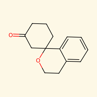 O=C1CCCC2(C1)OCCc1ccccc12